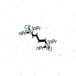 CCC[Si](Cl)(C=CCC[Si](Cl)(CCC)CCC)CCC